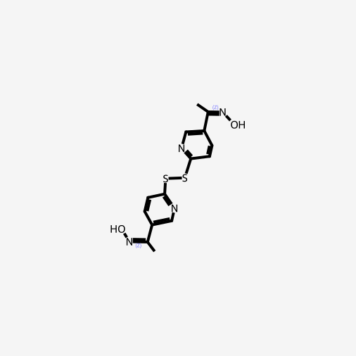 C/C(=N/O)c1ccc(SSc2ccc(/C(C)=N\O)cn2)nc1